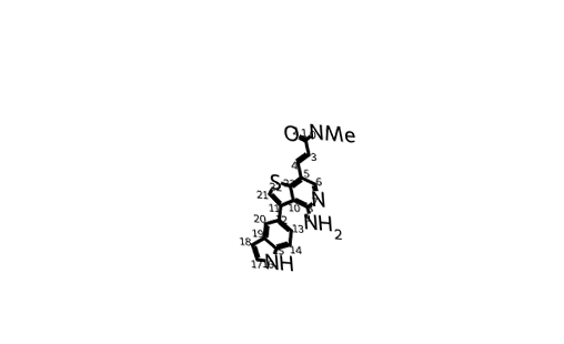 CNC(=O)/C=C/c1cnc(N)c2c(-c3ccc4[nH]ccc4c3)csc12